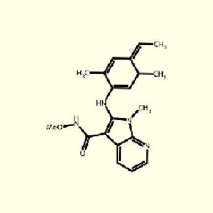 C/C=C1/C=C(C)C(Nc2c(C(=O)NOC)c3cccnc3n2C)=CC1C